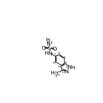 Cc1n[nH]c2ccc(NS(N)(=O)=O)cc12